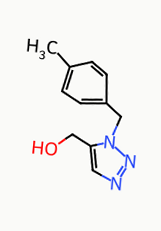 Cc1ccc(Cn2nncc2CO)cc1